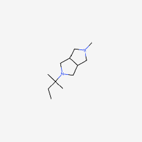 CCC(C)(C)N1CC2CN(C)CC2C1